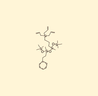 C=CC[Si](CC=C)(CC=C)CCC[Si](C)(O[Si](C)(C)C)O[Si](C)(CCc1ccccc1)O[Si](C)(C)C